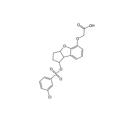 O=C(O)COc1cccc2c1OC1CCC(OS(=O)(=O)c3cccc(Cl)c3)C21